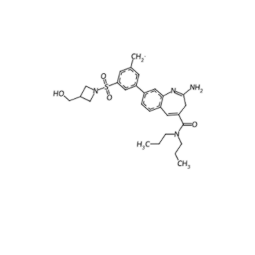 [CH2]c1cc(-c2ccc3c(c2)N=C(N)CC(C(=O)N(CCC)CCC)=C3)cc(S(=O)(=O)N2CC(CO)C2)c1